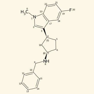 Cn1cc([C@H]2CC[C@@H](NCc3ccccc3)C2)c2cc(F)ccc21